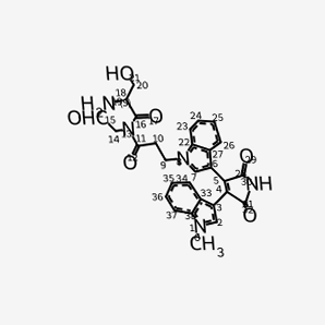 Cn1cc(C2=C(c3cn(CCC(=O)N(C[C]=O)C(=O)[C@@H](N)CO)c4ccccc34)C(=O)NC2=O)c2ccccc21